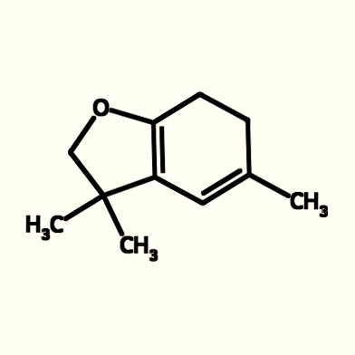 CC1=CC2=C(CC1)OCC2(C)C